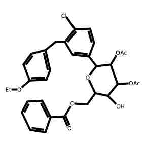 CCOc1ccc(Cc2cc(C3OC(COC(=O)c4ccccc4)C(O)C(OC(C)=O)C3OC(C)=O)ccc2Cl)cc1